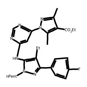 CCCCCn1nc(-c2ccc(F)cc2)c(CC)c1Nc1cc(-n2nc(C)c(C(=O)OCC)c2C)ncn1